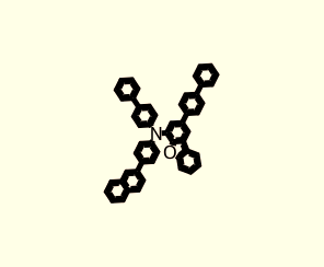 c1ccc(-c2ccc(-c3cc(N(c4ccc(-c5ccccc5)cc4)c4ccc(-c5ccc6ccccc6c5)cc4)c4oc5ccccc5c4c3)cc2)cc1